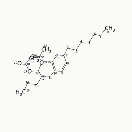 CCCCCCCc1ccc(C=C(CCC)C(OC(C)=O)OC(C)=O)cc1